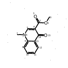 COC(=O)c1cn(C)c2ccccc2c1=O